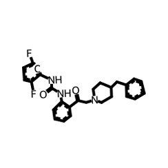 O=C(Nc1cc(F)ccc1F)Nc1ccccc1C(=O)CN1CCC(Cc2ccccc2)CC1